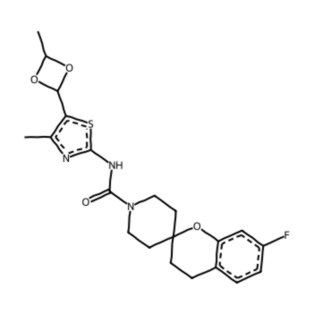 Cc1nc(NC(=O)N2CCC3(CCc4ccc(F)cc4O3)CC2)sc1C1OC(C)O1